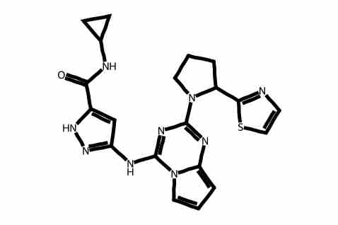 O=C(NC1CC1)c1cc(Nc2nc(N3CCCC3c3nccs3)nc3cccn23)n[nH]1